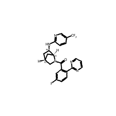 O=C(c1cc(F)ccc1-c1ncccn1)N1C[C@@H]2C[C@@H](Nc3ccc(C(F)(F)F)cn3)[C@@H]1C2